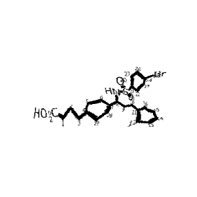 O=C(O)CCCc1ccc(C(CCc2ccccc2)NS(=O)(=O)c2ccc(Br)cc2)cc1